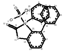 O=P([O-])(O)[N+]1(c2ccccc2)C(=S)Sc2cccc(-c3ccccc3)c21